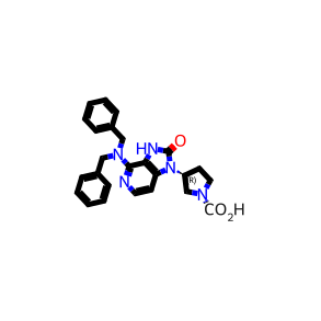 O=C(O)N1CC[C@@H](n2c(=O)[nH]c3c(N(Cc4ccccc4)Cc4ccccc4)nccc32)C1